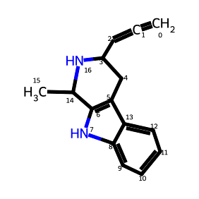 C=C=CC1Cc2c([nH]c3ccccc23)C(C)N1